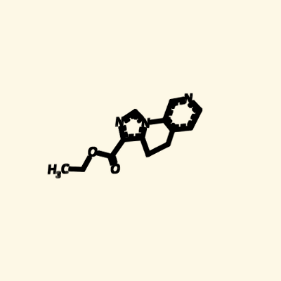 CCOC(=O)c1ncn2c1CCc1ccncc1-2